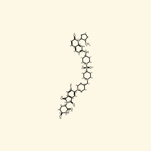 CC1CCCC1n1c(=O)ccc2cnc(NC3CCN(S(=O)(=O)C4CCN(CC5CCN(c6cc7c(cc6F)C(=O)N(C6CCC(=O)NC6=O)C7=O)CC5)CC4)CC3)nc21